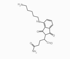 NCCCCCNc1cccc2c1C(=O)C(C(C=O)CCC(N)=O)C2=O